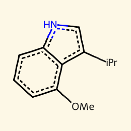 COc1cccc2[nH]cc(C(C)C)c12